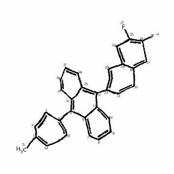 Cc1ccc(-c2c3ccccc3c(-c3ccc4cc(F)c(F)cc4c3)c3ccccc23)cc1